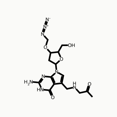 CC(=O)CNCc1cn(C2CC(OCN=[N+]=[N-])C(CO)O2)c2nc(N)[nH]c(=O)c12